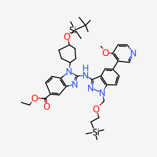 CCOC(=O)c1ccc2c(c1)nc(Nc1nn(COCC[Si](C)(C)C)c3ccc(-c4cnccc4OC)cc13)n2C1CCC(O[Si](C)(C)C(C)(C)C)CC1